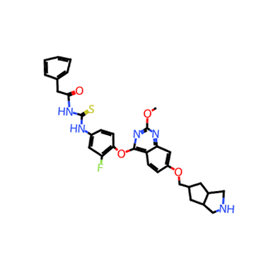 COc1nc(Oc2ccc(NC(=S)NC(=O)Cc3ccccc3)cc2F)c2ccc(OCC3CC4CNCC4C3)cc2n1